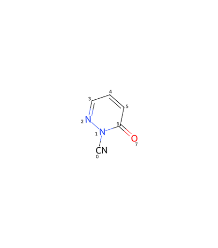 N#Cn1ncccc1=O